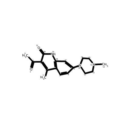 CC(=O)c1c(C)c2ccc(N3CCN(C)CC3)cc2[nH]c1=O